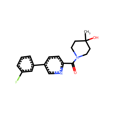 CC1(O)CCN(C(=O)c2ccc(-c3cccc(F)c3)cn2)CC1